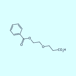 O=C(O)CCOCCOC(=O)c1ccccc1